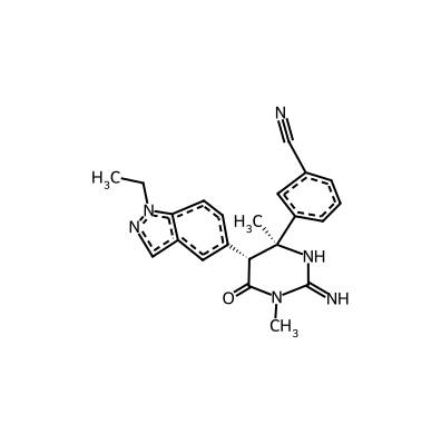 CCn1ncc2cc([C@H]3C(=O)N(C)C(=N)N[C@]3(C)c3cccc(C#N)c3)ccc21